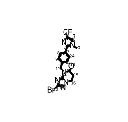 Cn1cc(C(F)(F)F)nc1-c1ccc(CN2C(=O)CCn3nc(Br)nc32)cc1